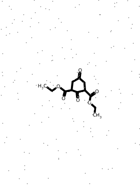 CCOC(=O)C1CC(=O)CC(C(=O)OCC)C1=O